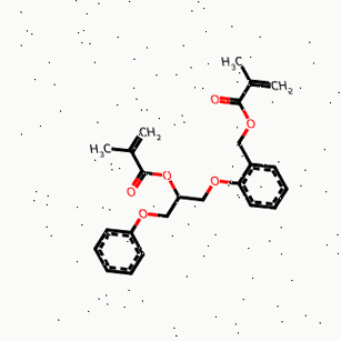 C=C(C)C(=O)OCc1ccccc1OCC(COc1ccccc1)OC(=O)C(=C)C